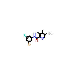 CCCCc1cnc(C(=O)Nc2cc(F)cc(Br)c2)c(C)c1C